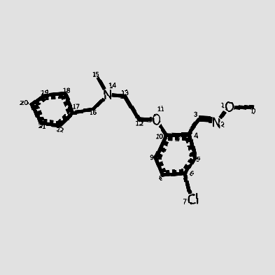 CON=Cc1cc(Cl)ccc1OCCN(C)Cc1ccccc1